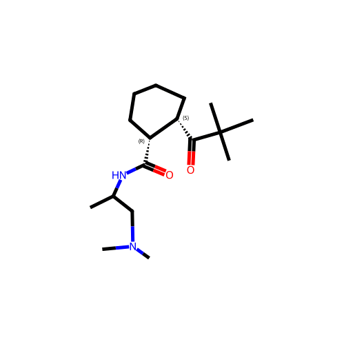 CC(CN(C)C)NC(=O)[C@@H]1CCCC[C@@H]1C(=O)C(C)(C)C